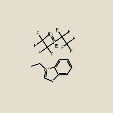 CC[n+]1csc2ccccc21.O=P([O-])(C(F)(F)C(F)(F)F)C(F)(F)C(F)(F)F